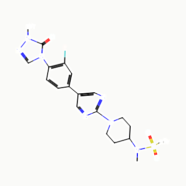 CCCn1ncn(-c2ccc(-c3cnc(N4CCC(N(C)S(=O)(=O)CCC)CC4)nc3)cc2F)c1=O